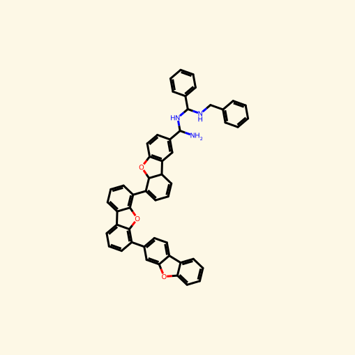 NC(NC(NCc1ccccc1)c1ccccc1)c1ccc2c(c1)C1C=CC=C(c3cccc4c3oc3c(-c5ccc6c(c5)oc5ccccc56)cccc34)C1O2